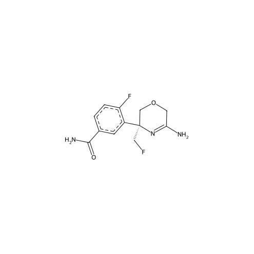 NC(=O)c1ccc(F)c([C@@]2(CF)COCC(N)=N2)c1